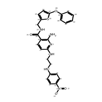 Nc1nc(NCCNc2ccc([N+](=O)[O-])cc2)ccc1C(=O)NCc1ccc(Oc2ccccc2)s1